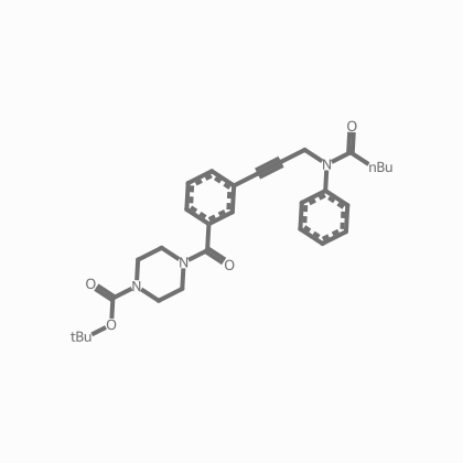 CCCCC(=O)N(CC#Cc1cccc(C(=O)N2CCN(C(=O)OC(C)(C)C)CC2)c1)c1ccccc1